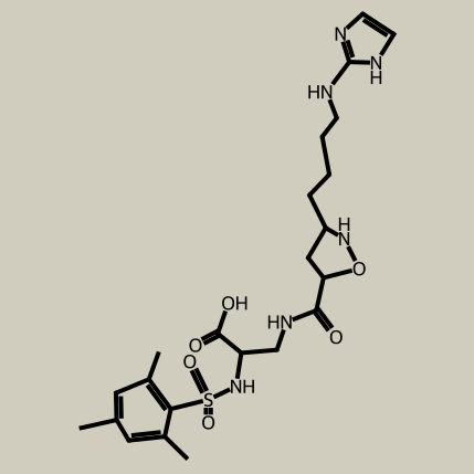 Cc1cc(C)c(S(=O)(=O)NC(CNC(=O)C2CC(CCCCNc3ncc[nH]3)NO2)C(=O)O)c(C)c1